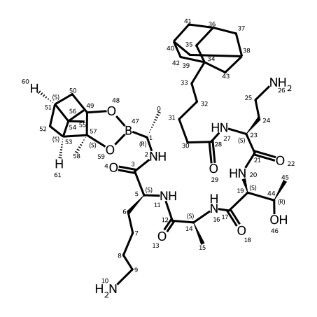 C[C@H](NC(=O)[C@H](CCCCN)NC(=O)[C@H](C)NC(=O)[C@@H](NC(=O)[C@H](CCN)NC(=O)CCCCC12CC3CC(CC(C3)C1)C2)[C@@H](C)O)B1OC2C[C@@H]3C[C@@H](C3(C)C)[C@]2(C)O1